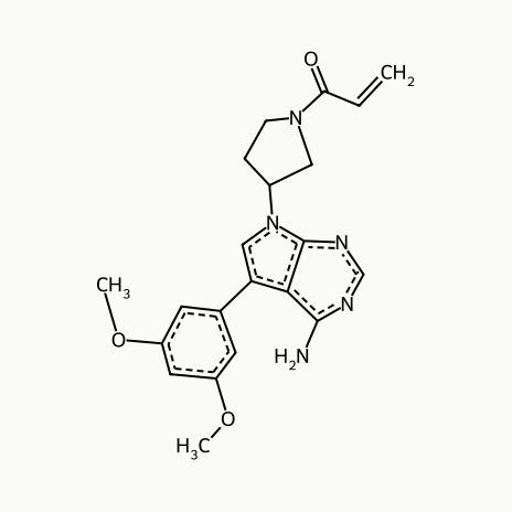 C=CC(=O)N1CCC(n2cc(-c3cc(OC)cc(OC)c3)c3c(N)ncnc32)C1